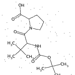 CC(C)(C)OC(=O)NC(C(=O)N1CCCC1C(=O)O)C(C)(C)C